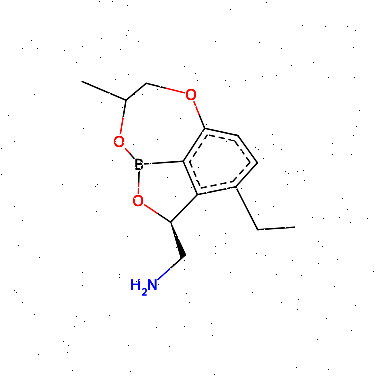 CCc1ccc2c3c1[C@@H](CN)OB3OC(C)CO2